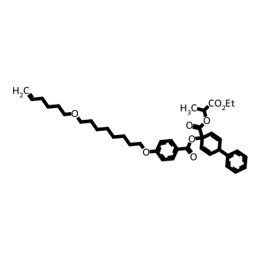 C=CCCCCOCCCCCCCCOc1ccc(C(=O)OC2(C(=O)OC(C)C(=O)OCC)C=CC(c3ccccc3)C=C2)cc1